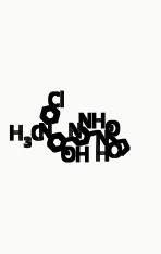 CN(c1ccc(Cl)cc1)c1ccc(O)c(-c2ccc(CNC(=O)C3CCCO3)c(N)n2)c1